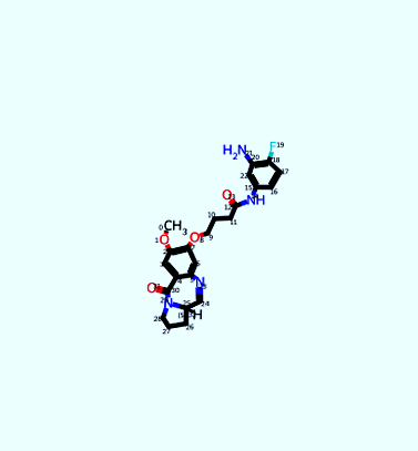 COc1cc2c(cc1OCCCC(=O)Nc1ccc(F)c(N)c1)N=C[C@@H]1CCCN1C2=O